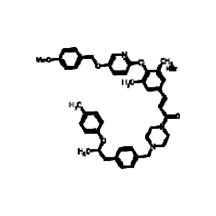 Br.COc1ccc(COc2ccc(Oc3c(C)cc(C=CC(=O)N4CCN(Cc5ccc(CC(C)Oc6ccc(C)cc6)cc5)CC4)cc3C)nc2)cc1